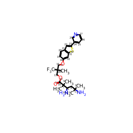 CC(C)(N)CC(N)C(C)(C)C(=O)OCC(C)(COc1ccc2cc(-c3cccnc3)sc2c1)C(F)(F)F